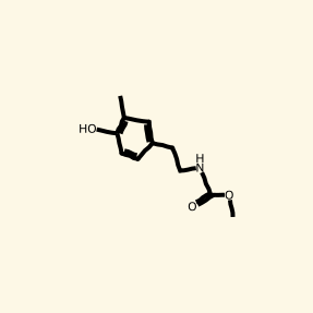 COC(=O)NCCc1ccc(O)c(C)c1